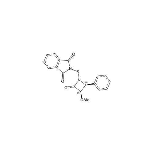 CO[C@H]1C(=O)N(SN2C(=O)c3ccccc3C2=O)[C@H]1c1ccccc1